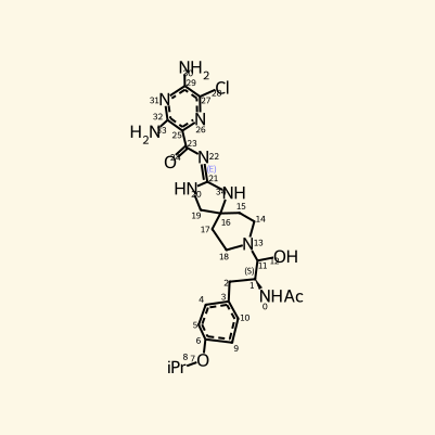 CC(=O)N[C@@H](Cc1ccc(OC(C)C)cc1)C(O)N1CCC2(CC1)CN/C(=N\C(=O)c1nc(Cl)c(N)nc1N)N2